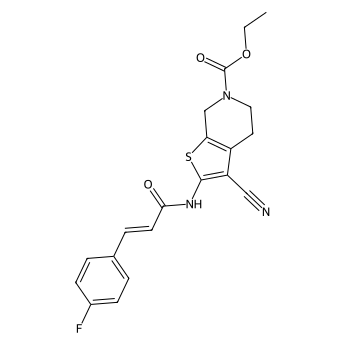 CCOC(=O)N1CCc2c(sc(NC(=O)/C=C/c3ccc(F)cc3)c2C#N)C1